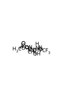 C=CC(=O)N1CCCCC1c1ccc2c(c1)nc(N1C[C@H](O)C[C@@H](Nc3ncc(C(F)(F)F)cn3)C1)n2C